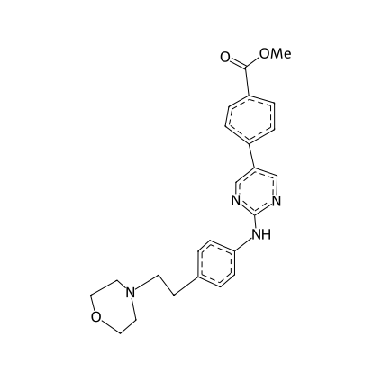 COC(=O)c1ccc(-c2cnc(Nc3ccc(CCN4CCOCC4)cc3)nc2)cc1